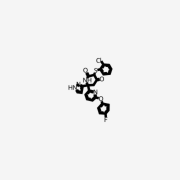 O=C1CC(c2cc[nH]n2)(c2cccc(Oc3ccc(F)cc3)n2)NC(=O)C1Sc1ccccc1Cl